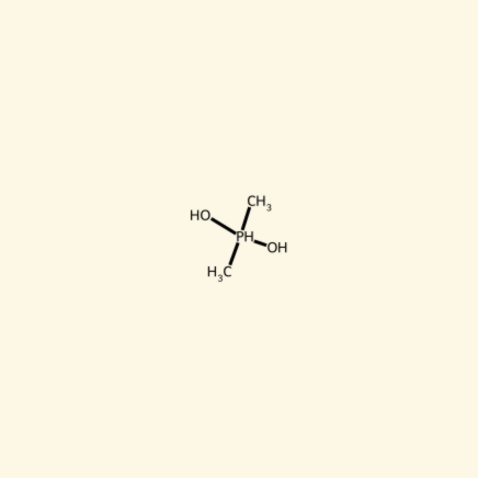 C[PH](C)(O)O